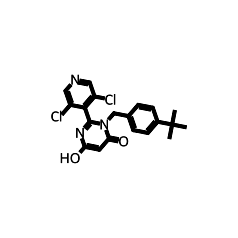 CC(C)(C)c1ccc(Cn2c(-c3c(Cl)cncc3Cl)nc(O)cc2=O)cc1